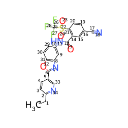 CCc1ccc(-c2nc3cc(NC(=O)c4cc(C#N)ccc4S(=O)(=O)C(F)(F)F)ccc3o2)cn1